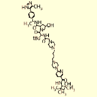 Cc1nc[nH]c1-c1ccc([C@H](C)NC(=O)C2C[C@@H](O)CN2C(=O)C(NC(=O)CN2CCN(CCCCN3CCN(c4ccc(C(=O)NC5C(C)(C)CC5(C)C)cn4)CC3)CC2)C(C)(C)C)cc1